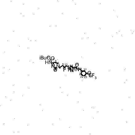 CC(C)COC(=O)Nc1ccn(CCC(F)Cn2cc(C(=O)NCc3cccc(OC(F)(F)F)c3)nn2)c(=O)n1